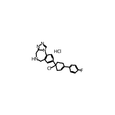 Cl.Fc1ccc(C2=CCC(Cl)(c3ccc4c(c3)CNCc3nncn3-4)CC2)cc1